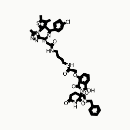 Cc1sc2c(c1C)C(c1ccc(Cl)cc1)=N[C@@H](CC(=O)NCCCCNC(=O)COc1cccc3c1C(=O)N(C1(C(=O)OCc4ccccc4)CCC(=O)NC1=O)C3O)c1nnc(C)n1-2